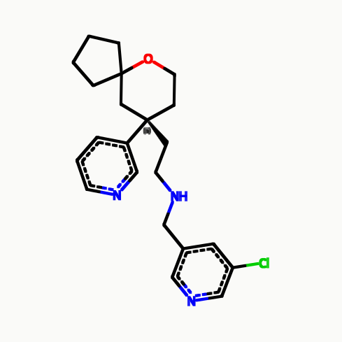 Clc1cncc(CNCC[C@]2(c3cccnc3)CCOC3(CCCC3)C2)c1